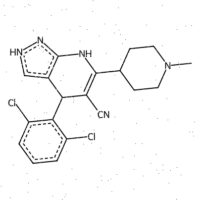 CN1CCC(C2=C(C#N)C(c3c(Cl)cccc3Cl)c3c[nH]nc3N2)CC1